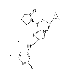 O=C1CCCN1c1cc(C2CC2)cn2cc(CNc3ccnc(Cl)c3)nc12